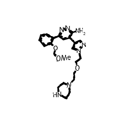 COCOc1ccccc1-c1cc(-c2cnn(CCOCCN3CCNCC3)c2)c(N)nn1